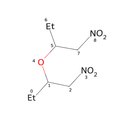 CCC(C[N+](=O)[O-])OC(CC)C[N+](=O)[O-]